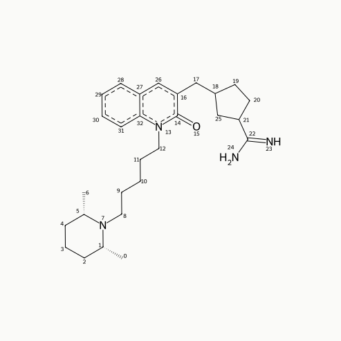 C[C@@H]1CCC[C@H](C)N1CCCCCn1c(=O)c(CC2CCC(C(=N)N)C2)cc2ccccc21